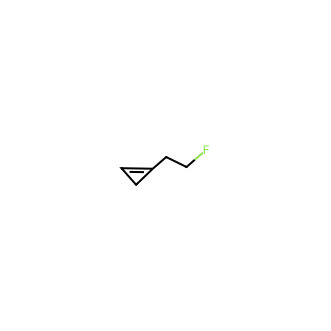 FCCC1=CC1